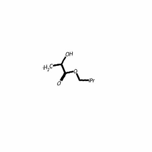 [CH2]C(O)C(=O)OCC(C)C